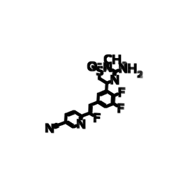 CN1C(N)=NC(c2cc(/C=C(\F)c3ccc(C#N)cn3)cc(F)c2F)C[S+]1[O-]